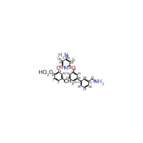 Cc1ccc(C(=O)O)c(Oc2nc(Oc3cccc(-c4cccc(CN)c4)c3)c(F)c(N)c2F)c1